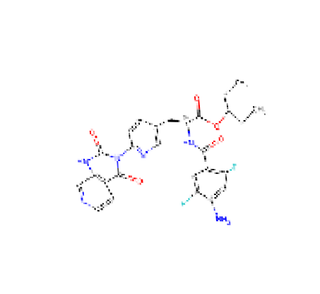 CCC(CC)OC(=O)[C@H](Cc1ccc(-n2c(=O)[nH]c3cnccc3c2=O)nc1)NC(=O)c1cc(F)c(N)cc1F